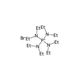 CCN(CC)[P+](N(CC)CC)(N(CC)CC)N(CC)CC.[Br-]